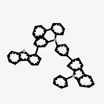 c1ccc(-c2ccccc2N(c2ccc(-c3ccc4c5ccccc5n(-c5ccccc5)c4c3)cc2)c2cccc(-c3cccc4c3sc3ccccc34)c2)cc1